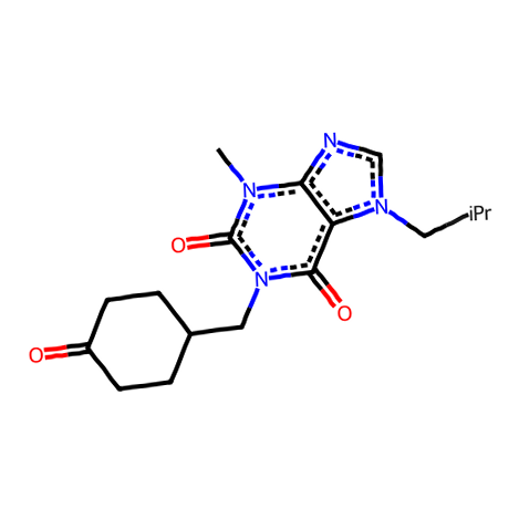 CC(C)Cn1cnc2c1c(=O)n(CC1CCC(=O)CC1)c(=O)n2C